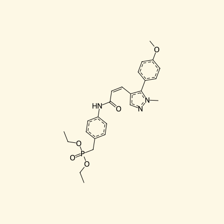 CCOP(=O)(Cc1ccc(NC(=O)/C=C\c2cnn(C)c2-c2ccc(OC)cc2)cc1)OCC